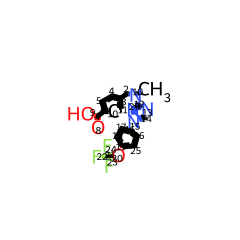 CN(Cc1ccc(C(=O)O)cc1)c1ncn(-c2ccc(OC(F)(F)F)cc2)n1